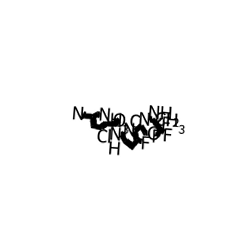 C[C@@]1(c2nc(NC(=O)c3ncc(C#N)cc3Cl)ccc2F)CO[C@@](C)(C(F)(F)F)C(N)=N1